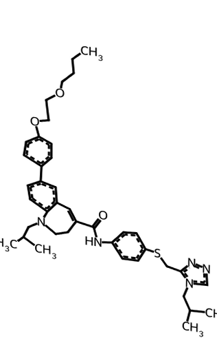 CCCCOCCOc1ccc(-c2ccc3c(c2)C=C(C(=O)Nc2ccc(SCc4nncn4CC(C)C)cc2)CCN3CC(C)C)cc1